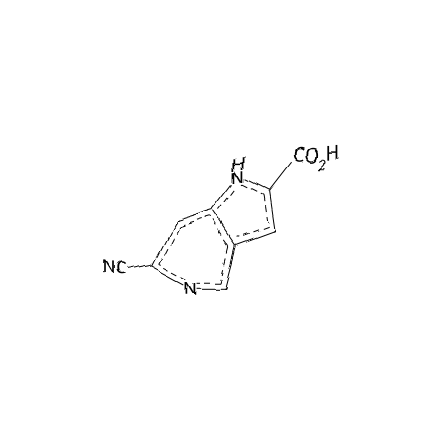 N#Cc1cc2[nH]c(C(=O)O)cc2cn1